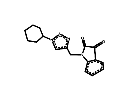 O=C1C(=O)N(Cc2cn(C3CCCCC3)nn2)c2ccccc21